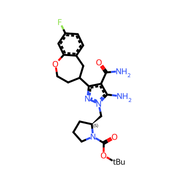 CC(C)(C)OC(=O)N1CCC[C@H]1Cn1nc(C2CCOc3cc(F)ccc3C2)c(C(N)=O)c1N